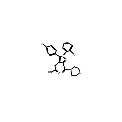 O=C(O)Cc1c(C(=O)N2CCOCC2)nn(-c2ccccc2Cl)c1-c1ccc(Cl)cc1